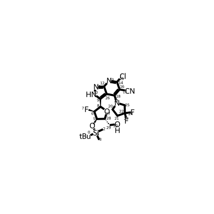 CC(C)(C)[Si](C)(C)O[C@H]1[C@@H](F)[C@@H](c2[nH]nc3nc(Cl)c(C#N)c(N4CCC(F)(F)C4)c23)O[C@@H]1CO